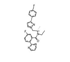 CCN(C(=O)c1cc(F)ccc1-c1ncccn1)[C@@H](C)Cn1ccc(-c2ccc(F)cc2)n1